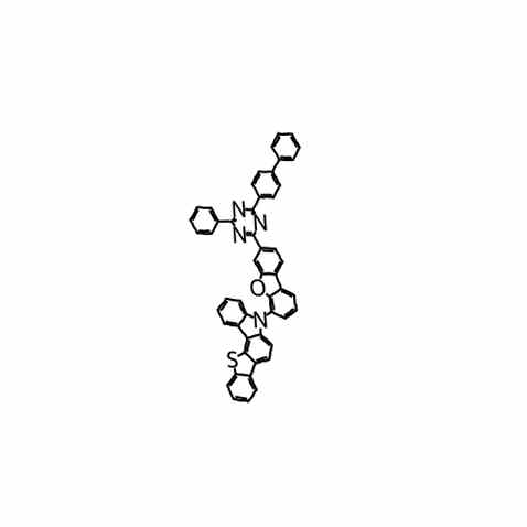 c1ccc(-c2ccc(-c3nc(-c4ccccc4)nc(-c4ccc5c(c4)oc4c(-n6c7ccccc7c7c8sc9ccccc9c8ccc76)cccc45)n3)cc2)cc1